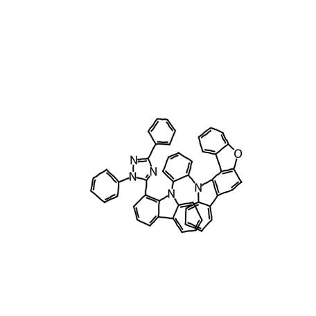 c1ccc(-c2nc(-c3cccc4c5ccccc5n(-c5ccccc5-n5c6ccccc6c6ccc7oc8ccccc8c7c65)c34)n(-c3ccccc3)n2)cc1